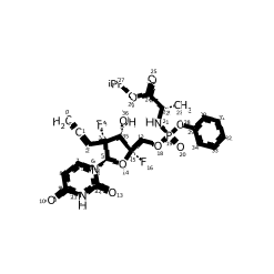 C=C=C[C@]1(F)[C@H](n2ccc(=O)[nH]c2=O)O[C@](F)(COP(=O)(N[C@@H](C)C(=O)OC(C)C)Oc2ccccc2)[C@H]1O